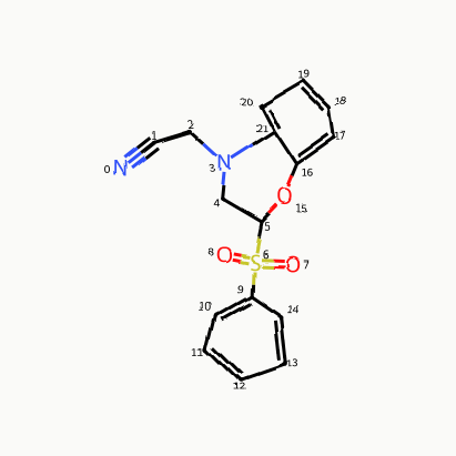 N#CCN1CC(S(=O)(=O)c2ccccc2)Oc2ccccc21